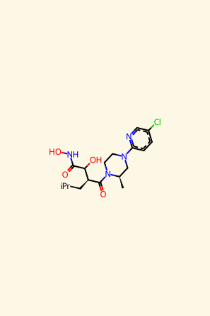 CC(C)C[C@H](C(=O)N1CCN(c2ccc(Cl)cn2)C[C@H]1C)C(O)C(=O)NO